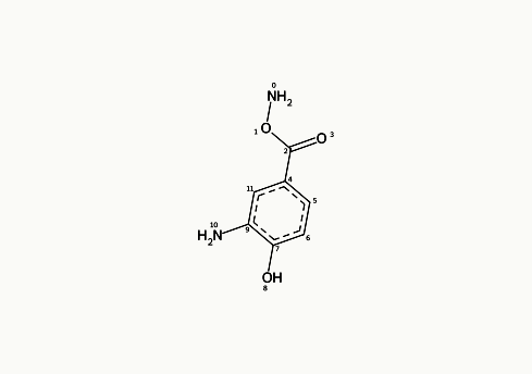 NOC(=O)c1ccc(O)c(N)c1